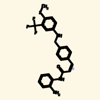 CSc1ccc(NCc2ccc(/C=C\C(=O)Nc3ccccc3N)cc2)cc1C(F)(F)F